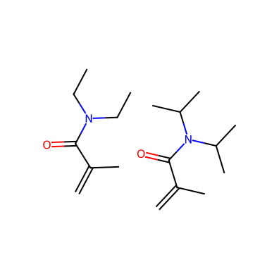 C=C(C)C(=O)N(C(C)C)C(C)C.C=C(C)C(=O)N(CC)CC